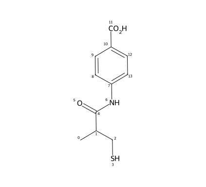 CC(CS)C(=O)Nc1ccc(C(=O)O)cc1